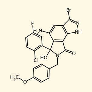 COc1ccc(CN2C(=O)c3c(c(N)cc4c(Br)n[nH]c34)C2(O)c2cc(F)ccc2Cl)cc1